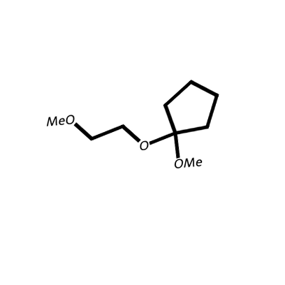 COCCOC1(OC)CCCC1